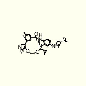 Cc1cc2cc(n1)-c1cnn(C)c1OCCCC(C1CC1)N1/C(=N/C2=O)Nc2ccc(N[C@H]3C[C@@H](N(C)C)C3)cc21